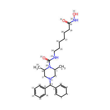 CC1CN(C(C2=CCCC=C2)c2ccccc2)CC(C)N1C(=O)NCCCCCCC(=O)NO